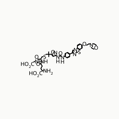 CC(C)(CSCC(NC(=O)CCC(N)C(=O)O)C(=O)NCC(=O)O)c1cc(NC(=O)Nc2ccc(-c3cn4c(n3)sc3cc(OCCN5CCOCC5)ccc34)cc2)no1